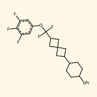 CCCC1CCC(C2CC3(C2)CC(C(F)(F)Oc2cc(F)c(F)c(F)c2)C3)CC1